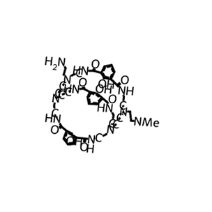 CNCCN1CCNC(=O)c2cccc(c2O)C(=O)NCCN(CCN)CCN2CCNC(=O)c3cccc(c3O)C(=O)NCCN(CCNC(=O)c3cccc(c3O)C(=O)NCC2)CC1